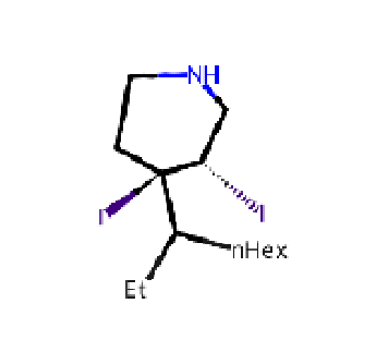 CCCCCCC(CC)[C@]1(I)CCNC[C@@H]1I